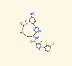 Cc1c(C(=O)N[C@H]2CCC[C@@H](C)CC(=O)Nc3cc(N)ccc3-c3c[nH]c2n3)cnn1-c1cccc(Cl)c1F